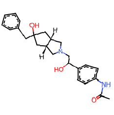 CC(=O)Nc1ccc(C(O)CN2C[C@@H]3CC(O)(Cc4ccccc4)C[C@@H]3C2)cc1